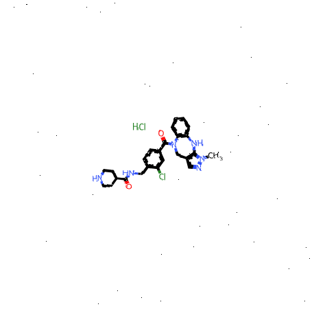 Cl.Cn1ncc2c1Nc1ccccc1N(C(=O)c1ccc(CNC(=O)C3CCNCC3)c(Cl)c1)C2